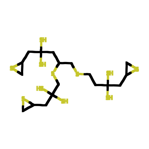 SC(S)(CCSCC(CC(S)(S)CC1CS1)SCC(S)(S)CC1CS1)CC1CS1